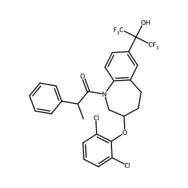 CC(C(=O)N1CC(Oc2c(Cl)cccc2Cl)CCc2cc(C(O)(C(F)(F)F)C(F)(F)F)ccc21)c1ccccc1